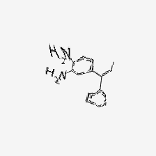 CC=C(c1ccccc1)c1ccc(N)c(N)c1